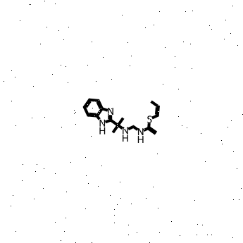 C=C(NCNC(C)(C)c1nc2ccccc2[nH]1)S/C=C\C